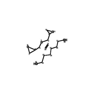 C(OCC1CO1)C1CO1.C=C.OCCCCCCO